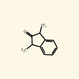 O=C1C(C(F)(F)F)c2ccccc2C1C(F)(F)F